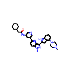 CN1CCN(c2cccc3[nH]c(-c4n[nH]c5ccc(-c6cncc(NC(=O)CC7CCCCC7)c6)nc45)cc23)CC1